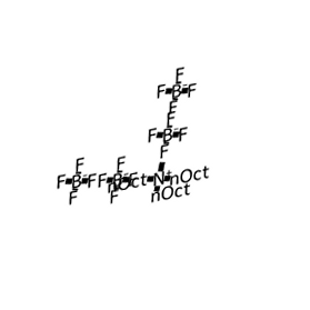 CCCCCCCC[N+](C)(CCCCCCCC)CCCCCCCC.F[B-](F)(F)F.F[B-](F)(F)F.F[B-](F)(F)F.F[B-](F)(F)F